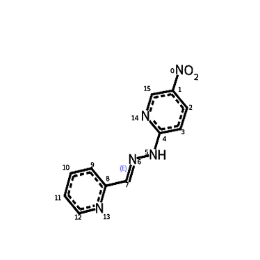 O=[N+]([O-])c1ccc(N/N=C/c2ccccn2)nc1